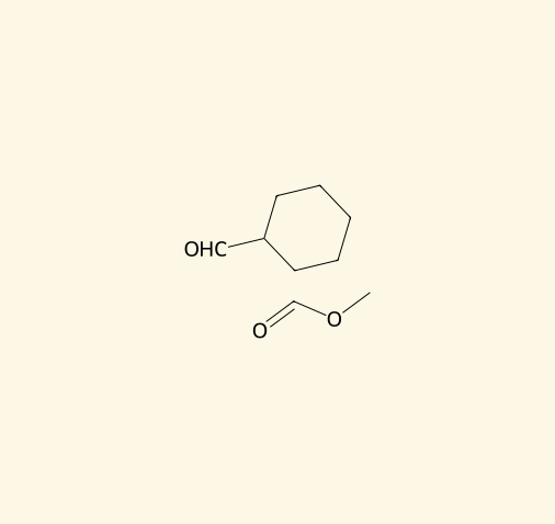 COC=O.O=CC1CCCCC1